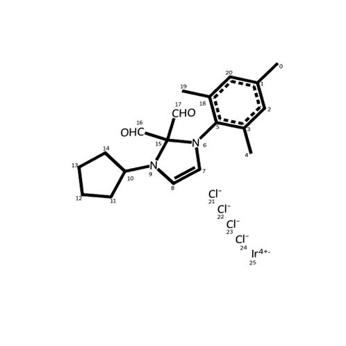 Cc1cc(C)c(N2C=CN(C3CCCC3)C2(C=O)C=O)c(C)c1.[Cl-].[Cl-].[Cl-].[Cl-].[Ir+4]